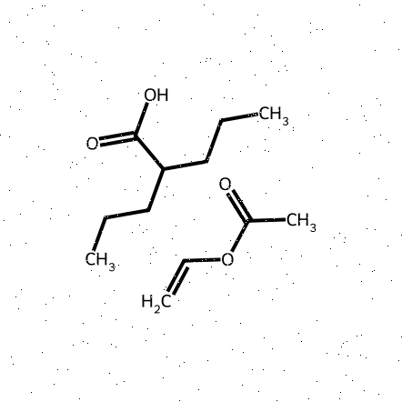 C=COC(C)=O.CCCC(CCC)C(=O)O